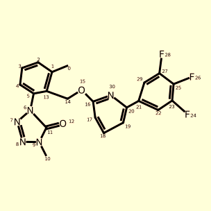 Cc1cccc(-n2nnn(C)c2=O)c1COc1cccc(-c2cc(F)c(F)c(F)c2)n1